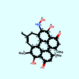 COc1c(O)c2c(=O)cc(OC)c3c4c(OC)cc(=O)c5c(O)c(NO)c6c(c(c1C=C(C)C6)c23)c54